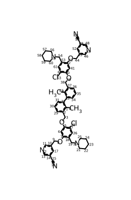 Cc1c(COc2cc(OCc3cncc(C#N)c3)c(CN3CCCCC3)cc2Cl)cccc1-c1cccc(COc2cc(OCc3cncc(C#N)c3)c(CN3CCCCC3)cc2Cl)c1C